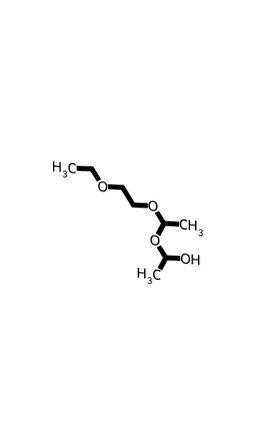 CCOCCOC(C)OC(C)O